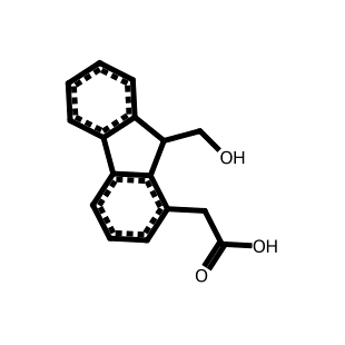 O=C(O)Cc1cccc2c1C(CO)c1ccccc1-2